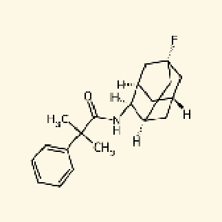 CC(C)(C(=O)N[C@H]1[C@@H]2C[C@H]3C[C@@H]1C[C@@](F)(C2)C3)c1ccccc1